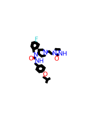 CC(C)COc1ccc(CNC(=O)N(Cc2ccc(F)cc2)C2CCN(CCN3CCNC3=O)CC2)cc1